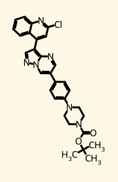 CC(C)(C)OC(=O)N1CCN(c2ccc(-c3cnc4c(-c5cc(Cl)nc6ccccc56)cnn4c3)cc2)CC1